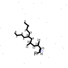 CCCCC(CCCC)CC(C)CC(C)/C=C\F